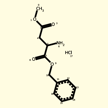 COC(=O)CC(N)C(=O)OCc1ccccc1.Cl